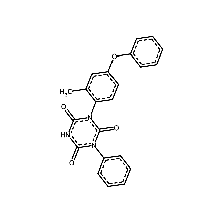 Cc1cc(Oc2ccccc2)ccc1-n1c(=O)[nH]c(=O)n(-c2ccccc2)c1=O